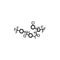 CC(C(=O)N(C)c1cc(C(F)(F)F)nn1-c1cccc(Cl)c1)c1ccc(C(=O)Nc2ccc(C(F)(F)F)cc2)cc1